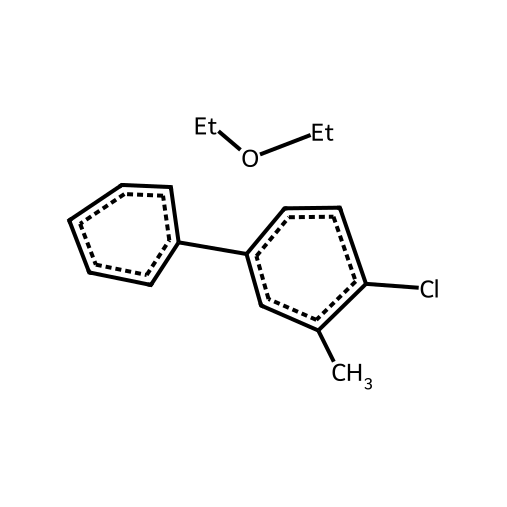 CCOCC.Cc1cc(-c2ccccc2)ccc1Cl